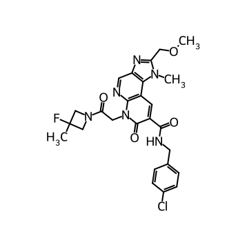 COCc1nc2cnc3c(cc(C(=O)NCc4ccc(Cl)cc4)c(=O)n3CC(=O)N3CC(C)(F)C3)c2n1C